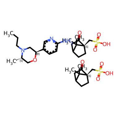 CC1(C)C2CC[C@@]1(CS(=O)(=O)O)C(=O)C2.CC1(C)C2CC[C@@]1(CS(=O)(=O)O)C(=O)C2.CCCN1C[C@@H](c2ccc(N)nc2)OC[C@@H]1C